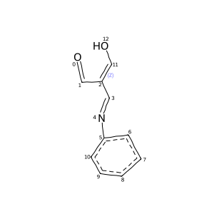 O=C/C(C=Nc1ccccc1)=C\O